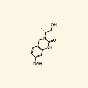 CNc1ccc2c(c1)NC(=O)N([C@H](C)CO)C2